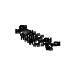 CC[C@@]1(O)CC[C@H]2[C@@H](CC[C@@H]3[C@@H]2CC[C@@]2(C)[C@H]3CC[C@@H]2[C@@](C)(O)Cn2cc(C#N)cn2)C1